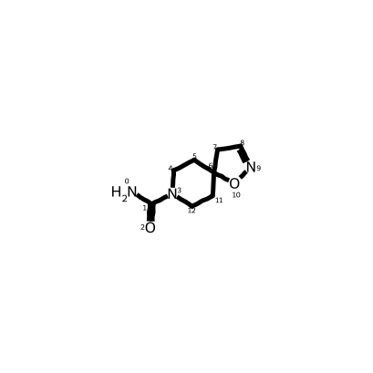 NC(=O)N1CCC2(CC=NO2)CC1